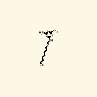 CCCCCCCCOCNc1nc(N)nc(N)n1